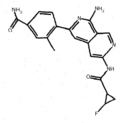 Cc1cc(C(N)=O)ccc1-c1cc2cc(NC(=O)C3CC3F)ncc2c(N)n1